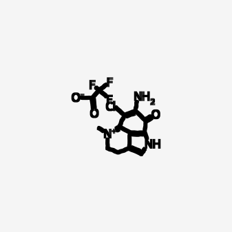 C[N+]1=C2C(Cl)=C(N)C(=O)c3[nH]cc(c32)CC1.O=C([O-])C(F)(F)F